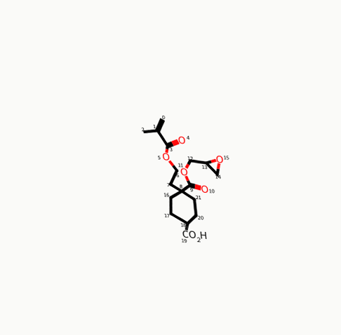 C=C(C)C(=O)OCCC1(C(=O)OCC2CO2)CCC(C(=O)O)CC1